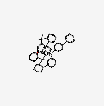 CC1(C)c2ccccc2-c2c(N(c3ccc(-c4ccccc4)cc3)c3cccc4c3C3(c5ccccc5-c5ccccc53)c3ccccc3-4)cccc21